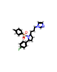 Cc1ccc(S(=O)(=O)N2C(CCCn3ccnc3)CCC2c2ccc(F)cc2)cc1